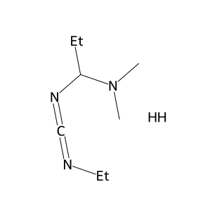 CCN=C=NC(CC)N(C)C.[HH]